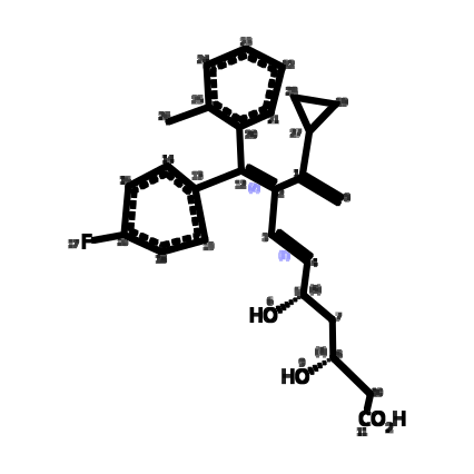 C=C(C(/C=C/[C@@H](O)C[C@@H](O)CC(=O)O)=C(/c1ccc(F)cc1)c1ccccc1C)C1CC1